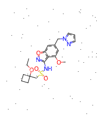 CCOC1(CS(=O)(=O)Nc2noc3cc(Cn4cccn4)cc(OC)c23)CCC1